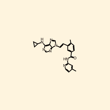 Cc1ccnc(NC(=O)c2ccc(C)c(/C=C/n3cnc4c(NC5CC5)ncnc43)c2)c1